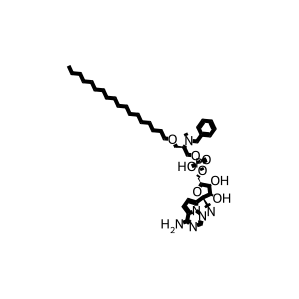 CCCCCCCCCCCCCCCCCCOC[C@H](COP(=O)(O)OC[C@H]1O[C@@](C#N)(c2ccc3c(N)ncnn23)[C@H](O)[C@@H]1O)N(C)Cc1ccccc1